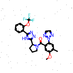 COc1cc(C(=O)N2CCCC2c2nnc(-c3ccccc3OC(F)(F)F)[nH]2)c(-n2nccn2)cc1C